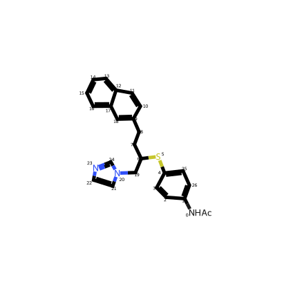 CC(=O)Nc1ccc(SC(CCc2ccc3ccccc3c2)Cn2ccnc2)cc1